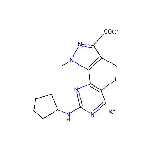 Cn1nc(C(=O)[O-])c2c1-c1nc(NC3CCCC3)ncc1CC2.[K+]